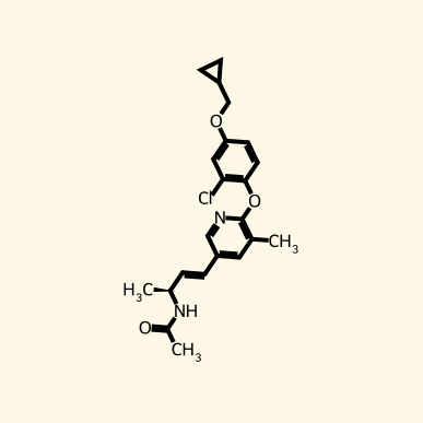 CC(=O)N[C@@H](C)/C=C/c1cnc(Oc2ccc(OCC3CC3)cc2Cl)c(C)c1